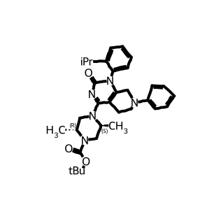 CC(C)c1ccccc1-n1c2c(c(N3C[C@@H](C)N(C(=O)OC(C)(C)C)C[C@@H]3C)nc1=O)CCN(c1ccccc1)C2